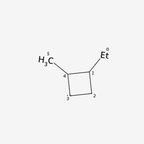 CCC1C[CH]C1C